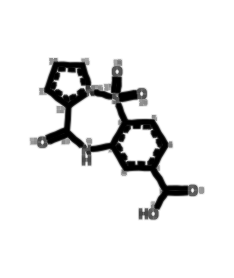 O=C(O)c1ccc2c(c1)NC(=O)c1cccn1S2(=O)=O